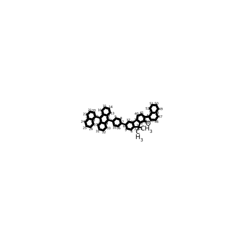 CC1(C)c2ccc(-c3ccc(-c4c5ccccc5c(-c5cccc6ccccc56)c5ccccc45)cc3)cc2-c2ccc3c(oc4ccc5ccccc5c43)c21